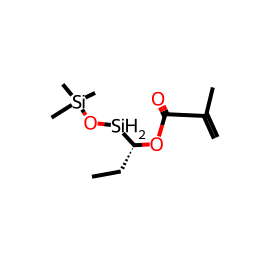 C=C(C)C(=O)O[C@H](CC)[SiH2]O[Si](C)(C)C